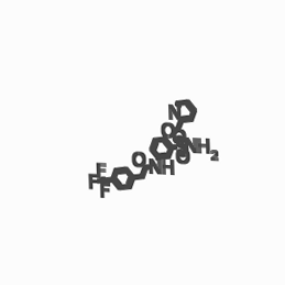 NS(=O)(=O)c1cc(NC(=O)Cc2ccc(C(F)(F)F)cc2)ccc1OCc1ccccn1